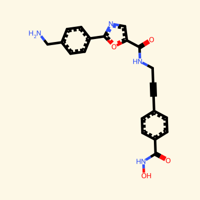 NCc1ccc(-c2ncc(C(=O)NCC#Cc3ccc(C(=O)NO)cc3)o2)cc1